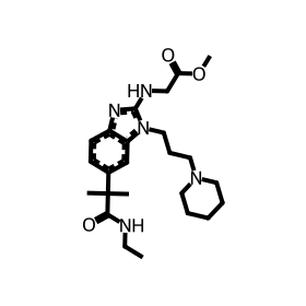 CCNC(=O)C(C)(C)c1ccc2nc(NCC(=O)OC)n(CCCN3CCCCC3)c2c1